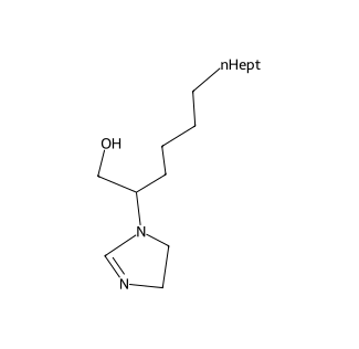 CCCCCCCCCCCC(CO)N1C=NCC1